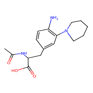 CC(=O)NC(Cc1ccc(N)c(N2CCCCC2)c1)C(=O)O